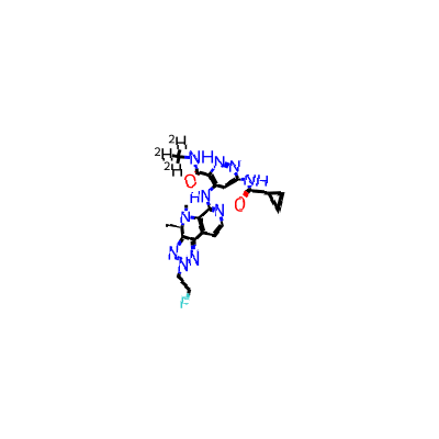 [2H]C([2H])([2H])NC(=O)c1nnc(NC(=O)C2CC2)cc1Nc1nccc2c1N(C)[C@H](C)c1nn(CCF)nc1-2